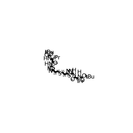 CC(C)[C@H](NC(=O)OC(C)(C)C)C(=O)Nc1nnc(CCSCCc2nnc(NC(=O)[C@H](NC(=O)OC(C)(C)C)C(C)C)s2)s1